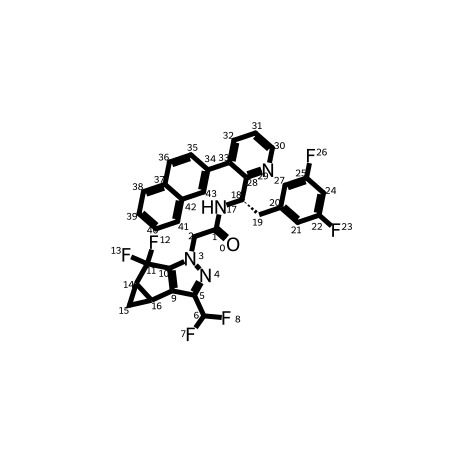 O=C(Cn1nc(C(F)F)c2c1C(F)(F)C1CC21)N[C@@H](Cc1cc(F)cc(F)c1)c1ncccc1-c1ccc2ccccc2c1